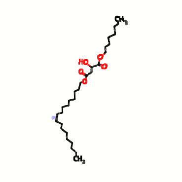 CCCCCCCC/C=C\CCCCCCCCOC(=O)CC(O)C(=O)OCCCCCCCC